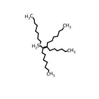 CCCCCCCC[SiH2]C(CCCCCCC)=C(CCCCCC)CCCCCCC